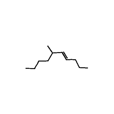 CCCC=CC(C)CCCC